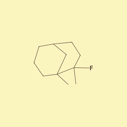 CC1(F)CCC2CCCC1(C)C2